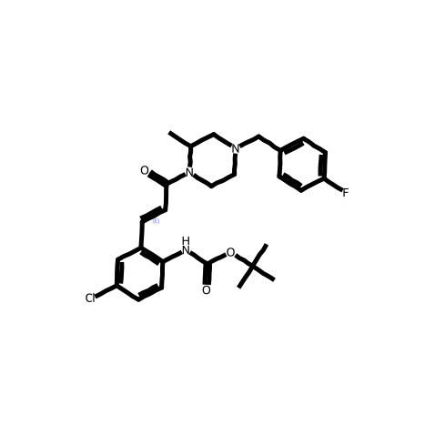 CC1CN(Cc2ccc(F)cc2)CCN1C(=O)/C=C/c1cc(Cl)ccc1NC(=O)OC(C)(C)C